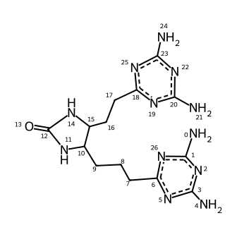 Nc1nc(N)nc(CCCC2NC(=O)NC2CCc2nc(N)nc(N)n2)n1